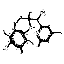 Cc1cc(C)nc(C(N)C2(C)CCc3c(C)c(O)c(C)c(C)c3O2)c1